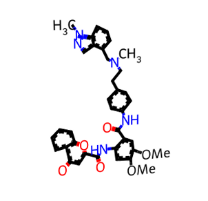 COc1cc(NC(=O)c2cc(=O)c3ccccc3o2)c(C(=O)Nc2ccc(CCN(C)Cc3cccc4c3cnn4C)cc2)cc1OC